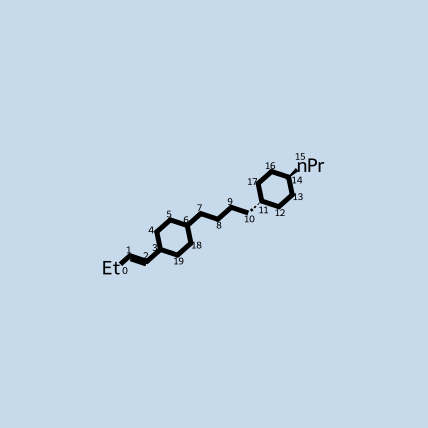 CCC=CC1CCC(CCCC[C@H]2CC[C@H](CCC)CC2)CC1